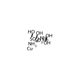 N.N.O=S(=O)(O)O.O=S(=O)(O)O.OO.[Cu]